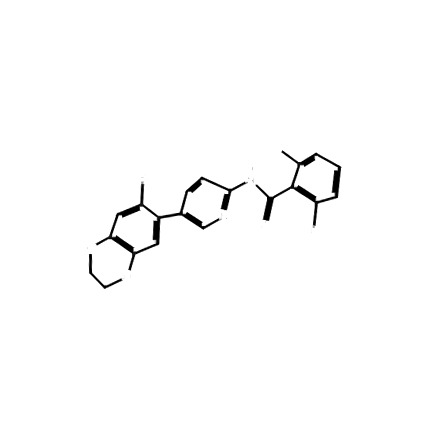 O=C(Nc1ccc(-c2cc3c(cc2Br)OCCO3)cn1)c1c(F)cccc1F